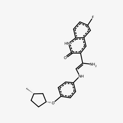 C[C@H]1CC[C@@H](Oc2ccc(N/C=C(\N)c3cc4cc(F)ccc4[nH]c3=O)cc2)C1